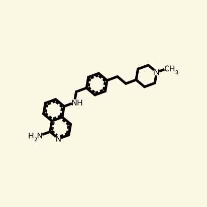 CN1CCC(CCc2ccc(CNc3cccc4c(N)nccc34)cc2)CC1